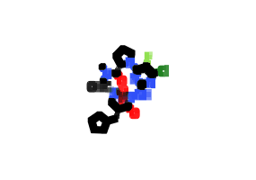 CN(C)C(=O)[C@@H]1CCCN1c1nc(NNC(=O)[C@H](CC2CCCC2)CN(O)C=O)nc(Cl)c1F